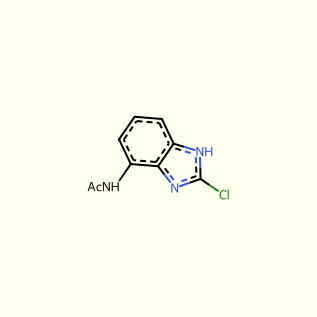 CC(=O)Nc1cccc2[nH]c(Cl)nc12